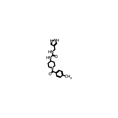 Cc1ccc(C(=O)N2CCC(NC(=O)NCc3cn[nH]c3)CC2)cc1